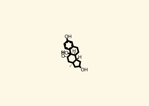 C[C@@]12CC(O)C[C@H]1[C@@H]1CCc3cc(O)ccc3C1(O)[C@@H](O)C2